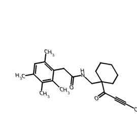 Cc1cc(C)c(CC(=O)NCC2(C(=O)C#CO)CCCCC2)c(C)c1C